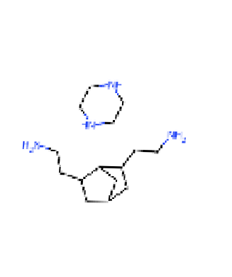 C1CNCCN1.NCCC1CC2CC(CCN)C1C2